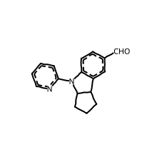 O=Cc1ccc2c(c1)C1CCCC1N2c1ccccn1